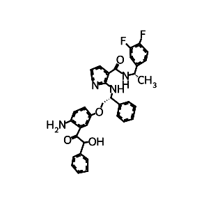 C[C@H](NC(=O)c1cccnc1N[C@@H](COc1ccc(N)c(C(=O)C(O)c2ccccc2)c1)c1ccccc1)c1ccc(F)c(F)c1